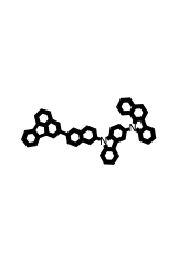 c1ccc2c(c1)-c1cccc3cc(-c4ccc5cc(-n6c7ccccc7c7cc(-n8c9ccccc9c9ccc%10ccccc%10c98)ccc76)ccc5c4)cc-2c13